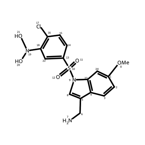 COc1ccc2c(CN)cn(S(=O)(=O)c3ccc(Cl)c(N(O)O)c3)c2c1